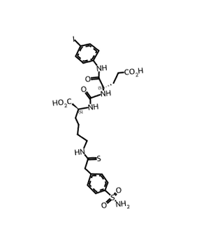 NS(=O)(=O)c1ccc(CC(=S)NCCCC[C@H](NC(=O)N[C@@H](CCC(=O)O)C(=O)Nc2ccc(I)cc2)C(=O)O)cc1